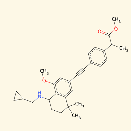 COC(=O)C(C)c1ccc(C#Cc2cc(OC)c3c(c2)C(C)(C)CCC3NCC2CC2)cc1